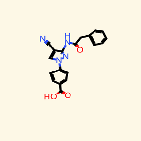 N#Cc1cn(-c2ccc(C(=O)O)cc2)nc1NC(=O)Cc1ccccc1